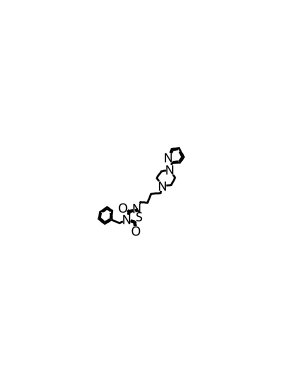 O=c1sn(CCCCN2CCN(c3ccccn3)CC2)c(=O)n1Cc1ccccc1